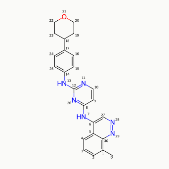 Cc1cccc2c(Nc3ccnc(Nc4ccc(C5CCOCC5)cc4)n3)cnnc12